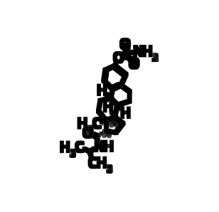 CC(C)NC(=O)[C@H]1CC[C@H]2[C@@H]3CCc4cc(OS(N)(=O)=O)ccc4[C@H]3CC[C@]12C